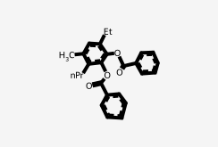 CCCc1c(C)cc(CC)c(OC(=O)c2ccccc2)c1OC(=O)c1ccccc1